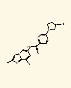 CC[C@@H]1CCN(c2cnc(C(=O)Nc3cc(F)c4nc(C)cn4c3)cn2)C1